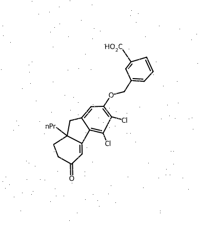 CCCC12CCC(=O)C=C1c1c(cc(OCc3cccc(C(=O)O)c3)c(Cl)c1Cl)C2